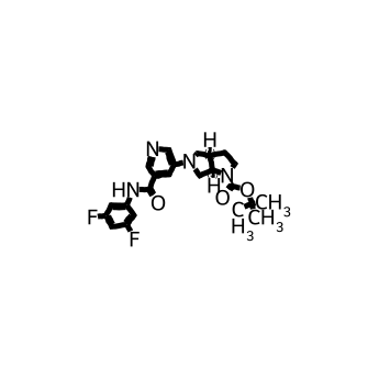 CC(C)(C)OC(=O)N1CC[C@H]2CN(c3cncc(C(=O)Nc4cc(F)cc(F)c4)c3)C[C@H]21